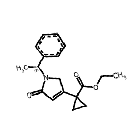 CCOC(=O)C1(C2=CC(=O)N([C@@H](C)c3ccccc3)C2)CC1